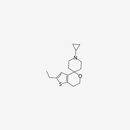 CCc1cc2c(s1)CCOC21CCN(C2CC2)CC1